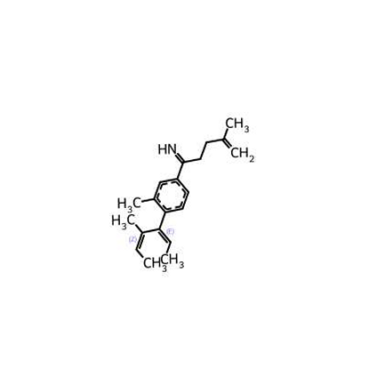 C=C(C)CCC(=N)c1ccc(C(=C/C)/C(C)=C\C)c(C)c1